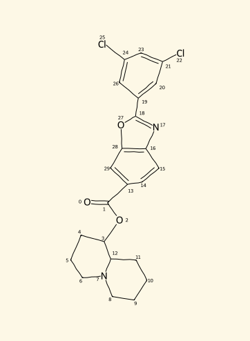 O=C(OC1CCCN2CCCCC12)c1ccc2nc(-c3cc(Cl)cc(Cl)c3)oc2c1